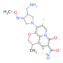 CON=C1CN(c2c(F)cn3c(=O)c4c(=O)[nH]sc4c4c3c2OCC4C)CC1CN